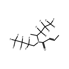 C/C=C/C(=O)N(CC(F)(F)C(F)(F)C(F)(F)F)C(C)C(F)(F)C(F)(F)C(F)(F)F